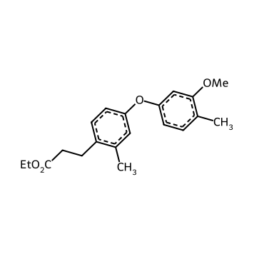 CCOC(=O)CCc1ccc(Oc2ccc(C)c(OC)c2)cc1C